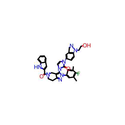 Cc1cc(-n2nc3c(c2-n2ccn(-c4ccc5c(cnn5CCO)c4)c2=O)CN(C(=O)c2cc4ccccc4[nH]2)CC3)cc(C)c1F